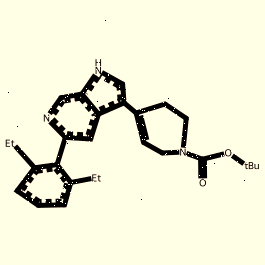 CCc1cccc(CC)c1-c1cc2c(C3=CCN(C(=O)OC(C)(C)C)CC3)c[nH]c2cn1